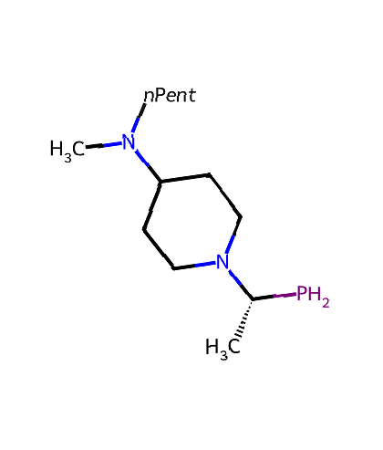 CCCCCN(C)C1CCN([C@@H](C)P)CC1